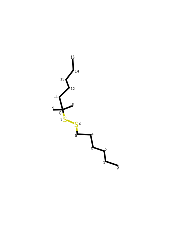 CCCCCCSSC(C)(C)CCCCC